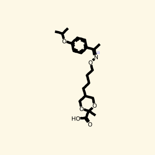 C/C(=N/OCCCCC1COC(C)(C(=O)O)OC1)c1ccc(OC(C)C)cc1